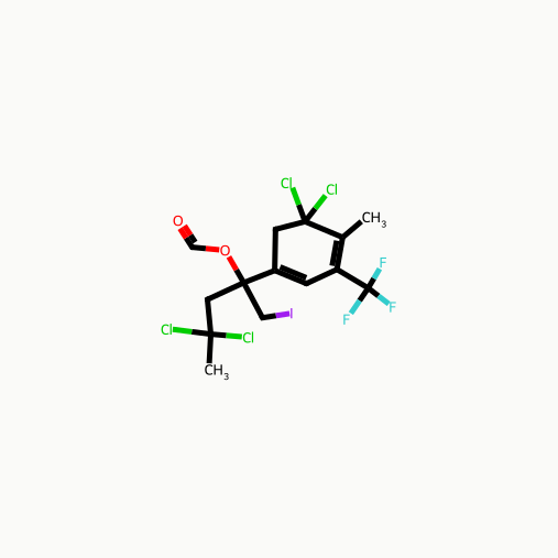 CC1=C(C(F)(F)F)C=C(C(CI)(CC(C)(Cl)Cl)OC=O)CC1(Cl)Cl